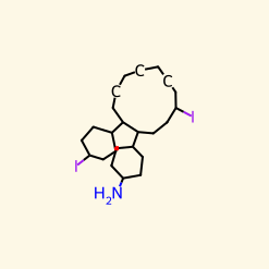 NC1CCC(C2CCC(I)CCCCCCCC2C2CCC(I)CC2)CC1